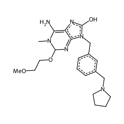 COCCOC1N=c2c(nc(O)n2Cc2cccc(CN3CCCC3)c2)=C(N)N1C